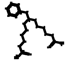 O=C(O)CCCCCN(CCCCCC(=O)O)Cc1ccccc1